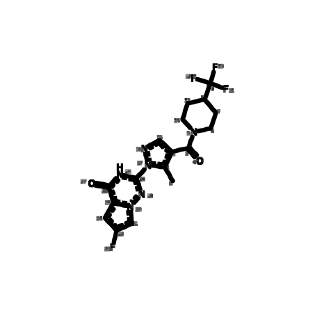 Cc1c(C(=O)N2CCC(C(F)(F)F)CC2)cnn1-c1nn2cc(F)cc2c(=O)[nH]1